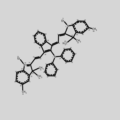 CCN1/C(=C/C=C2C(N(c3ccccc3)c3ccccc3)=C(/C=C/C3=[N+](CC)c4ccc(C)cc4C3(C)C)c3ccccc3/2)C(C)(C)c2cc(C)ccc21